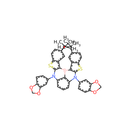 CC(C)(C)c1ccc2sc3c(c2c1)B1c2c(cccc2N(c2ccc4c(c2)OCO4)c2sc4ccc(C(C)(C)C)cc4c21)N3c1ccc2c(c1)OCO2